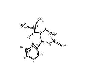 CN(C)C(=O)C1CNC(=O)CC1c1ccccc1